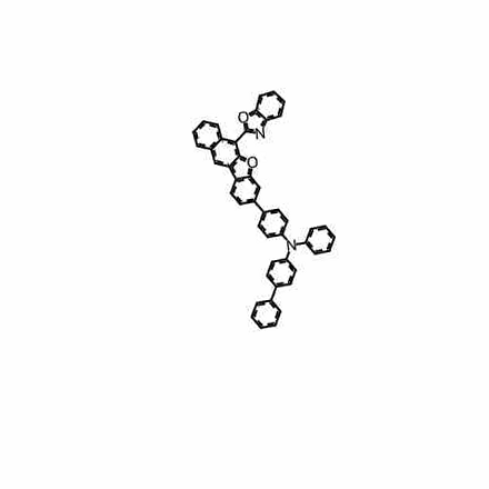 c1ccc(-c2ccc(N(c3ccccc3)c3ccc(-c4ccc5c(c4)oc4c(-c6nc7ccccc7o6)c6ccccc6cc45)cc3)cc2)cc1